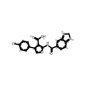 O=C(Nc1scc(-c2ccc(Cl)cc2)c1C(=O)O)c1ccc2c(c1)=NCN=2